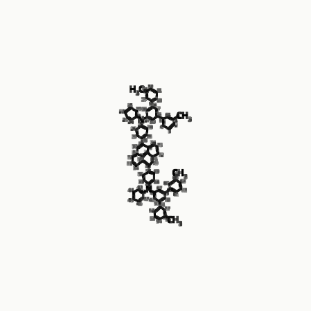 Cc1cccc(-c2cc(-c3cccc(C)c3)cc(N(c3ccccc3)c3ccc(-c4cc5cccc6c(-c7ccc(N(c8ccccc8)c8cc(-c9cccc(C)c9)cc(-c9cccc(C)c9)c8)cc7)cc7cccc4c7c56)cc3)c2)c1